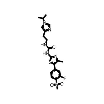 Cc1nc(NC(=O)NCCc2cn(C(C)C)cn2)sc1-c1ccc(S(C)(=O)=O)c(F)c1